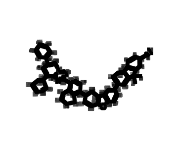 CC1(C)c2cc(C#N)ccc2-c2ccc(-c3ccc4oc5c(c4c3)CC(c3ccc(-c4nc6c(-c7ccccc7)cc(-c7ccccc7)cn6n4)c4c3CCC=C4)C=C5)cc21